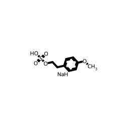 COc1ccc(CCOS(=O)(=O)O)cc1.[NaH]